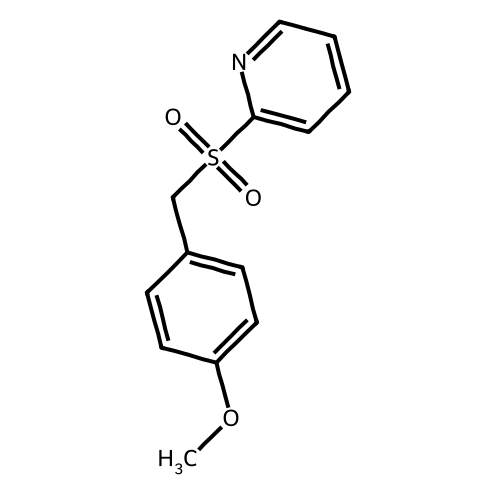 COc1ccc(CS(=O)(=O)c2ccccn2)cc1